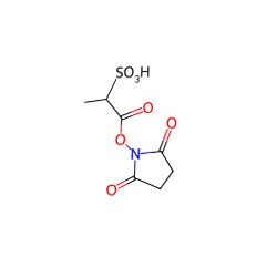 CC(C(=O)ON1C(=O)CCC1=O)S(=O)(=O)O